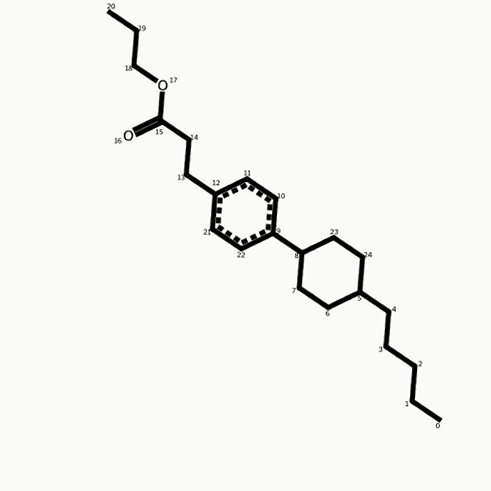 CCCCCC1CCC(c2ccc(CCC(=O)OCCC)cc2)CC1